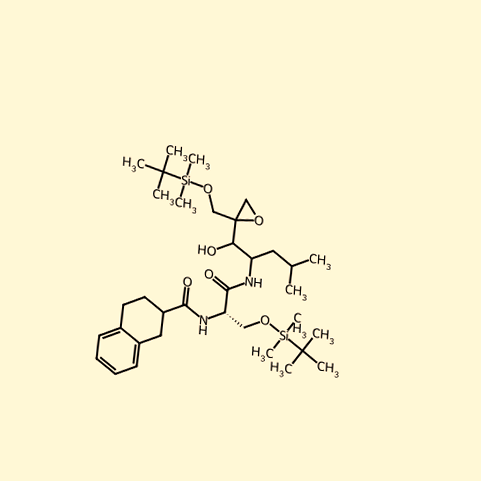 CC(C)CC(NC(=O)[C@H](CO[Si](C)(C)C(C)(C)C)NC(=O)C1CCc2ccccc2C1)C(O)C1(CO[Si](C)(C)C(C)(C)C)CO1